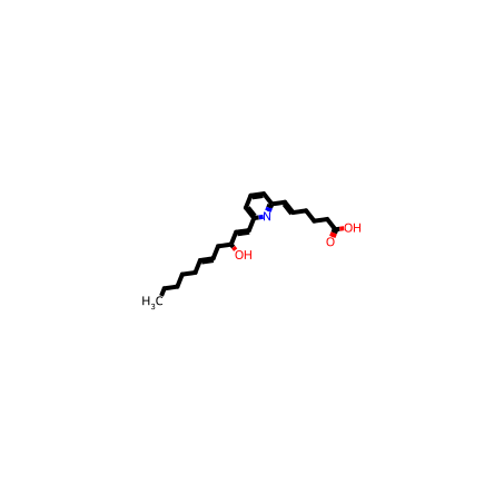 CCCCCC=CCC(O)C=Cc1cccc(C=CCCCC(=O)O)n1